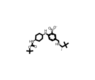 C[C@H](NCc1ccc(N[C@H]2CC[C@@H](NC(=O)OC(C)(C)C)CC2)c([N+](=O)[O-])c1)C(C)(C)C